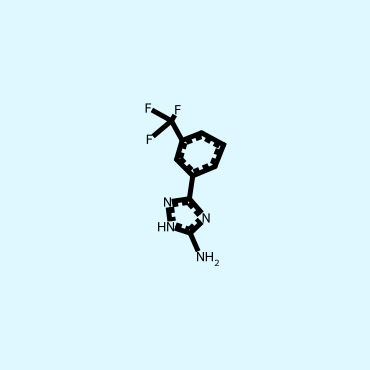 Nc1nc(-c2cccc(C(F)(F)F)c2)n[nH]1